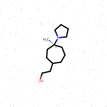 C[C@]1(N2CCCC2)CCCC(CCO)CC1